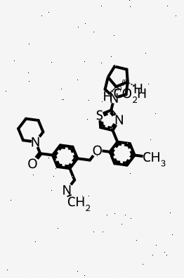 C=NCc1cc(C(=O)N2CCCCC2)ccc1COc1ccc(C)cc1-c1csc(N2CC3CC[C@@H](C2)[C@H]3C(=O)O)n1